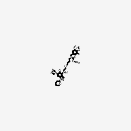 CC(C)(C)OC(=O)N(CCCCOCCNc1c(Cl)c(-n2cnnc2)cc2c1cnn2C1CCCCO1)Cc1cc(F)c(OC(F)(F)F)c(F)c1